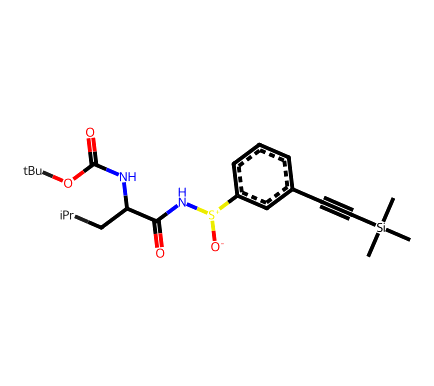 CC(C)CC(NC(=O)OC(C)(C)C)C(=O)N[S+]([O-])c1cccc(C#C[Si](C)(C)C)c1